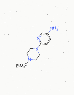 CCOC(=O)N1CCN(c2ccc(N)cn2)CC1